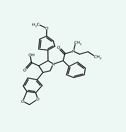 CCCN(C)C(=O)C(c1ccccc1)N1CC(c2ccc3c(c2)OCO3)C(C(=O)O)C1c1ccc(OC)cc1